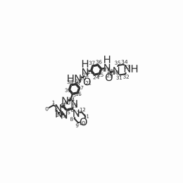 CCn1nnc2c(N3CCOCC3)nc(-c3ccc(NC(=O)Nc4ccc(NC(=O)N5CCNCC5)cc4)cc3)nc21